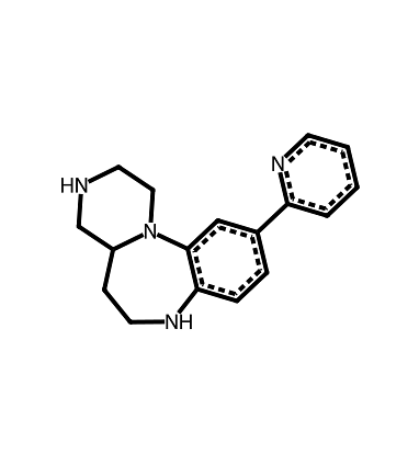 c1ccc(-c2ccc3c(c2)N2CCNCC2CCN3)nc1